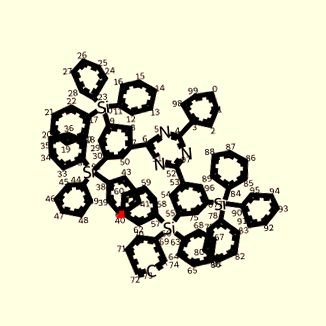 c1ccc(-c2nc(-c3cc([Si](c4ccccc4)(c4ccccc4)c4ccccc4)cc([Si](c4ccccc4)(c4ccccc4)c4ccccc4)c3)nc(-c3cc([Si](c4ccccc4)(c4ccccc4)c4ccccc4)cc([Si](c4ccccc4)(c4ccccc4)c4ccccc4)c3)n2)cc1